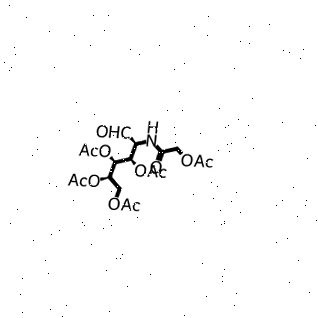 CC(=O)OCC(=O)N[C@H](C=O)[C@@H](OC(C)=O)[C@H](OC(C)=O)[C@@H](COC(C)=O)OC(C)=O